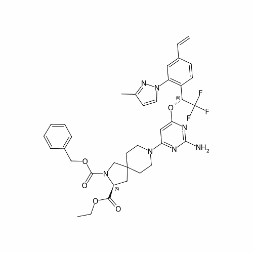 C=Cc1ccc([C@@H](Oc2cc(N3CCC4(CC3)C[C@@H](C(=O)OCC)N(C(=O)OCc3ccccc3)C4)nc(N)n2)C(F)(F)F)c(-n2ccc(C)n2)c1